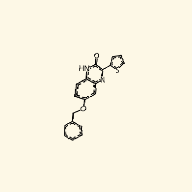 O=c1[nH]c2ccc(OCc3ccccc3)cc2nc1-c1cccs1